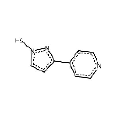 Sn1ccc(-c2ccncc2)n1